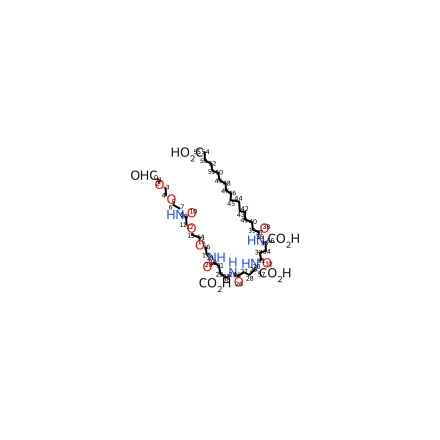 O=CCOCCOCCNC(=O)COCCOCCNC(=O)CC[C@H](NC(=O)CC[C@H](NC(=O)CC[C@H](NC(=O)CCCCCCCCCCCCCCCCC(=O)O)C(=O)O)C(=O)O)C(=O)O